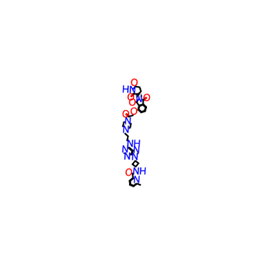 Cc1cccc(C(=O)NC2CC(n3cnc4c(NCCCN5CCN(C(=O)COc6cccc7c6C(=O)N([C@@H]6CCC(=O)NC6=O)C7=O)CC5)ncnc43)C2)n1